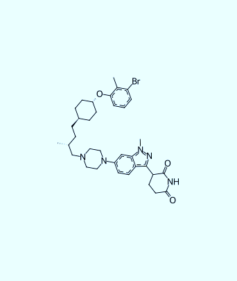 Cc1c(Br)cccc1O[C@H]1CC[C@H](CC[C@@H](C)CN2CCN(c3ccc4c(C5CCC(=O)NC5=O)nn(C)c4c3)CC2)CC1